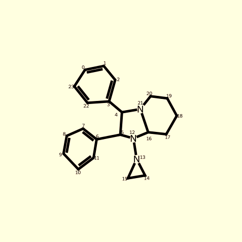 c1ccc(C2C(c3ccccc3)N(N3CC3)C3CCCCN23)cc1